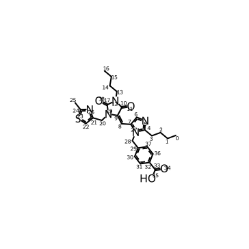 CCCCc1ncc(/C=C2\C(=O)N(CCCC)C(=O)N2Cc2csc(C)n2)n1Cc1ccc(C(=O)O)cc1